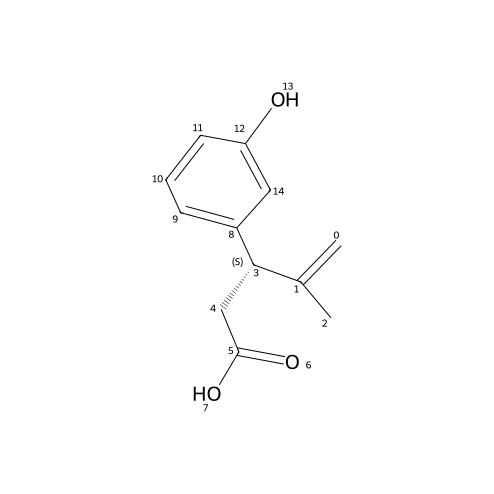 C=C(C)[C@H](CC(=O)O)c1cccc(O)c1